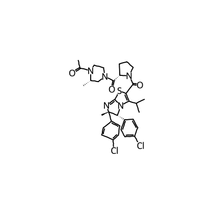 CC(=O)N1CCN(C(=O)[C@@H]2CCCN2C(=O)C2=C(C(C)C)N3C(=N[C@@](C)(c4ccc(Cl)cc4)[C@H]3c3ccc(Cl)cc3)S2)C[C@@H]1C